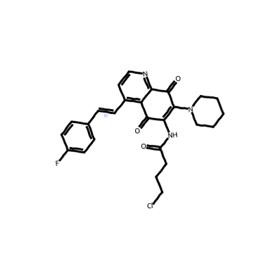 O=C(CCCCl)NC1=C(N2CCCCC2)C(=O)c2nccc(/C=C/c3ccc(F)cc3)c2C1=O